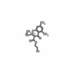 Cc1cc(C)c(C(=O)C(CC(C)C)C(=O)OCCC(C)C)c(C)c1.O=[PH3]